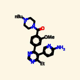 CCCCN1CCN(C(=O)c2ccc(-c3ncnc(CC)c3-c3ccc(N)nc3)cc2OC)CC1